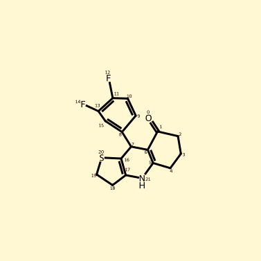 O=C1CCCC2=C1C(c1ccc(F)c(F)c1)C1=C(CCS1)N2